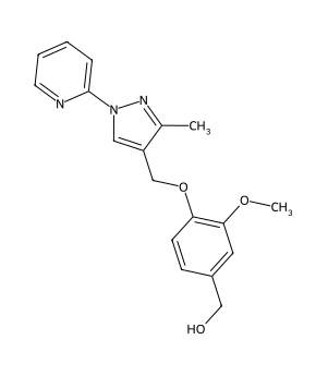 COc1cc(CO)ccc1OCc1cn(-c2ccccn2)nc1C